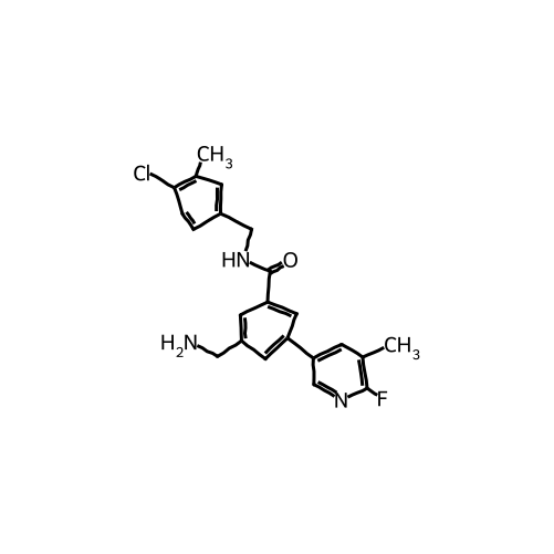 Cc1cc(CNC(=O)c2cc(CN)cc(-c3cnc(F)c(C)c3)c2)ccc1Cl